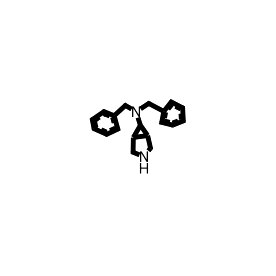 c1ccc(CN(Cc2ccccc2)C2C3CNCC32)cc1